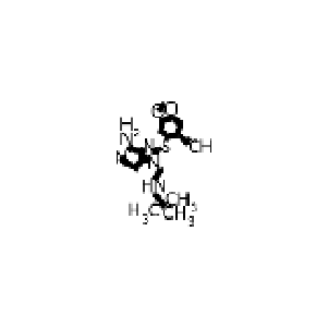 C#Cc1cc2c(cc1Sc1nc3c(N)nccc3n1CCNCC(C)(C)C)OCO2